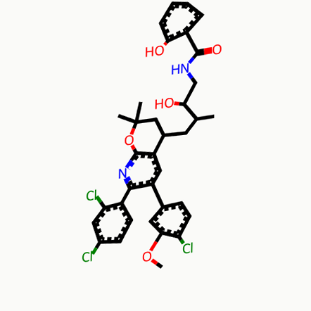 COc1cc(-c2cc3c(nc2-c2ccc(Cl)cc2Cl)OC(C)(C)CC3CC(C)C(O)CNC(=O)c2ccccc2O)ccc1Cl